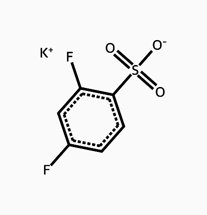 O=S(=O)([O-])c1ccc(F)cc1F.[K+]